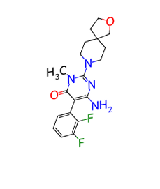 Cn1c(N2CCC3(CCOC3)CC2)nc(N)c(-c2cccc(F)c2F)c1=O